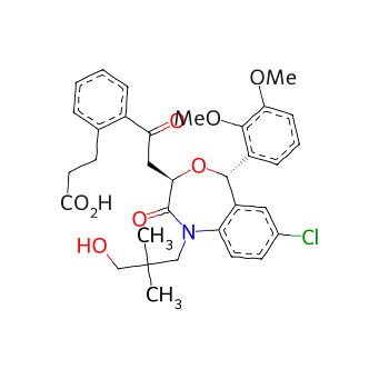 COc1cccc([C@H]2O[C@H](CC(=O)c3ccccc3CCC(=O)O)C(=O)N(CC(C)(C)CO)c3ccc(Cl)cc32)c1OC